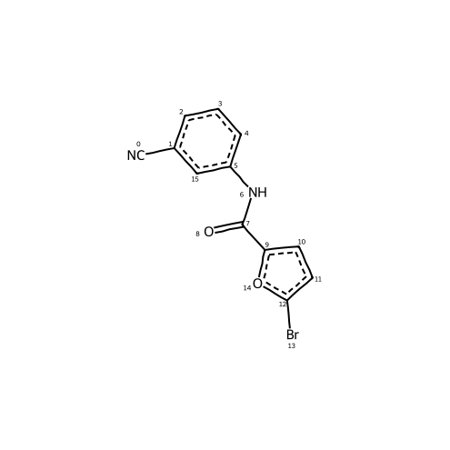 N#Cc1cccc(NC(=O)c2ccc(Br)o2)c1